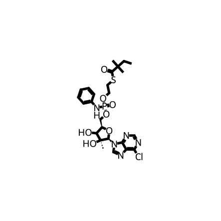 CCC(C)(C)C(=O)SCCOP(=O)(Nc1ccccc1)OC[C@H]1O[C@@H](n2cnc3c(Cl)ncnc32)[C@@](C)(O)C1O